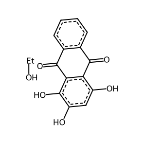 CCO.O=C1c2ccccc2C(=O)c2c(O)c(O)cc(O)c21